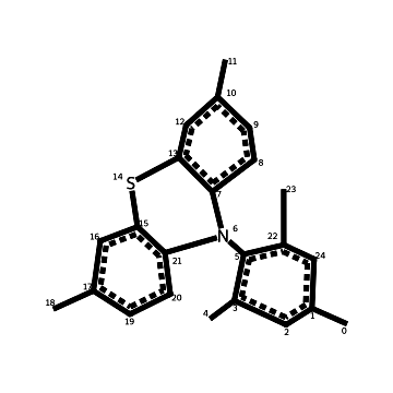 Cc1cc(C)c(N2c3ccc(C)cc3Sc3cc(C)ccc32)c(C)c1